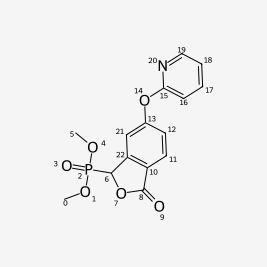 COP(=O)(OC)C1OC(=O)c2ccc(Oc3ccccn3)cc21